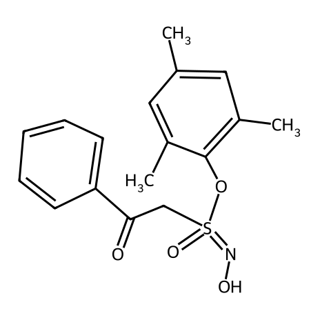 Cc1cc(C)c(OS(=O)(CC(=O)c2ccccc2)=NO)c(C)c1